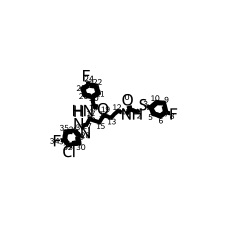 O=C(CSc1ccc(F)cc1)NCCCCC(NC(=O)c1ccc(F)cc1)c1nc2cc(Cl)c(F)cc2[nH]1